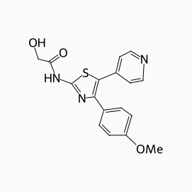 COc1ccc(-c2nc(NC(=O)CO)sc2-c2ccncc2)cc1